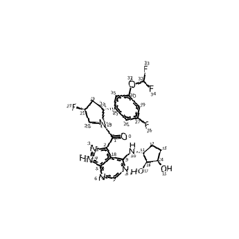 O=C(c1n[nH]c2ncnc(N[C@@H]3CC[C@@H](O)[C@H]3O)c12)N1C[C@@H](F)C[C@@H]1c1cc(F)cc(OC(F)F)c1